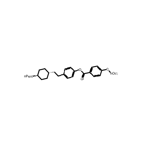 CCCCCCCCOc1ccc(C(=O)Oc2ccc(CC[C@H]3CC[C@H](CCCCC)CC3)cc2)cc1